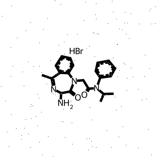 Br.CC1=NC(N)C(=O)N(CC(=O)N(c2ccccc2)C(C)C)c2ccccc21